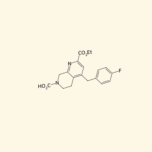 CCOC(=O)c1cc(Cc2ccc(F)cc2)c2c(n1)CN(C(=O)O)CC2